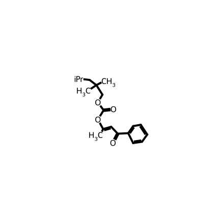 C/C(=C\C(=O)c1ccccc1)OC(=O)OCC(C)(C)CC(C)C